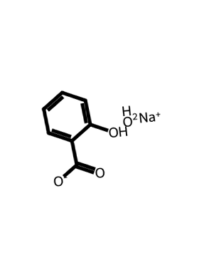 O.O=C([O-])c1ccccc1O.[Na+]